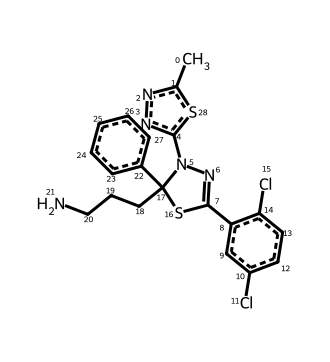 Cc1nnc(N2N=C(c3cc(Cl)ccc3Cl)SC2(CCCN)c2ccccc2)s1